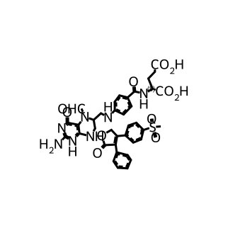 CS(=O)(=O)c1ccc(C2=C(c3ccccc3)C(=O)OC2)cc1.Nc1nc(=O)c2c([nH]1)NCC(CNc1ccc(C(=O)N[C@@H](CCC(=O)O)C(=O)O)cc1)N2C=O